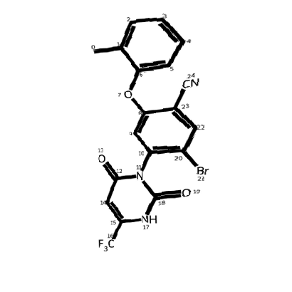 Cc1ccccc1Oc1cc(-n2c(=O)cc(C(F)(F)F)[nH]c2=O)c(Br)cc1C#N